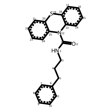 O=C(NCCCc1ccccc1)N1c2ccccc2Sc2ccccc21